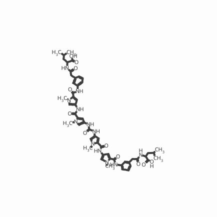 CC(C)CC(NC(=O)Cc1cccc(NC(=O)c2cc(NC(=O)c3cc(NC(=O)Nc4cc(C(=O)Nc5cc(C(=O)Nc6cccc(CC(=O)NC(CC(C)C)C(=O)O)c6)n(C)c5)n(C)c4)cn3C)cn2C)c1)C(=O)O